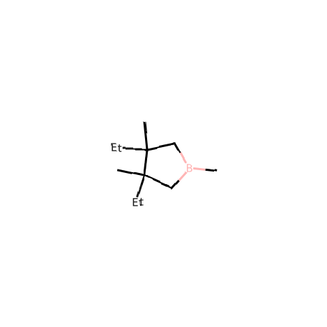 CCC1(C)CB(C)CC1(C)CC